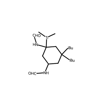 CCC(C)C1(C(C)CC)CC(NC=O)C[C](NC=O)([Ti]([CH3])[CH3])C1